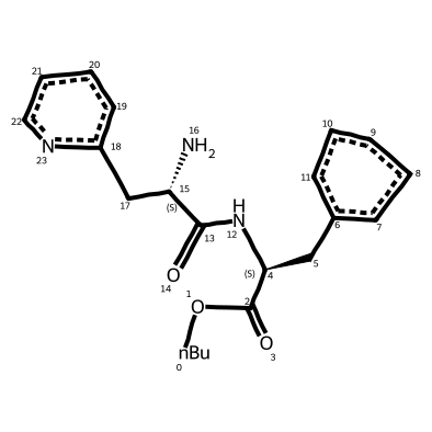 CCCCOC(=O)[C@H](Cc1ccccc1)NC(=O)[C@@H](N)Cc1ccccn1